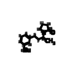 CCC(C)c1cccc(CCC(C)N2CCCC2=O)c1